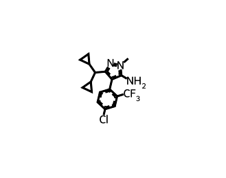 Cn1nc(C(C2CC2)C2CC2)c(-c2ccc(Cl)cc2C(F)(F)F)c1N